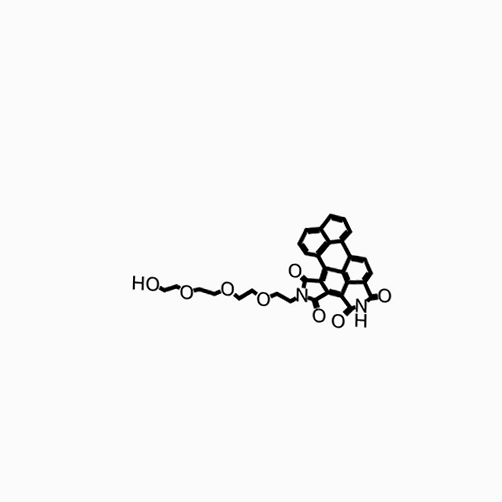 O=C1NC(=O)c2c3c1ccc1c4cccc5cccc(c54)c(c4c(=O)n(CCOCCOCCOCCO)c(=O)c24)c31